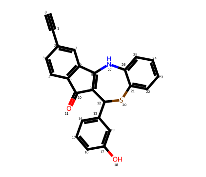 C#Cc1ccc2c(c1)C1=C(C2=O)C(c2cccc(O)c2)Sc2ccccc2N1